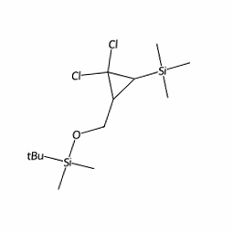 CC(C)(C)[Si](C)(C)OCC1C([Si](C)(C)C)C1(Cl)Cl